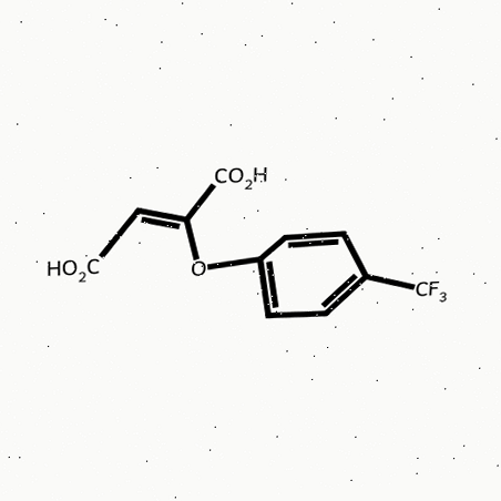 O=C(O)/C=C(\Oc1ccc(C(F)(F)F)cc1)C(=O)O